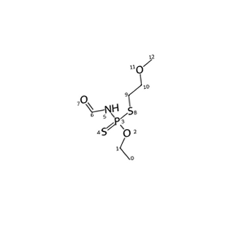 CCOP(=S)(NC=O)SCCOC